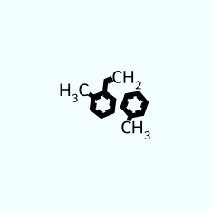 C=Cc1ccccc1C.Cc1ccccc1